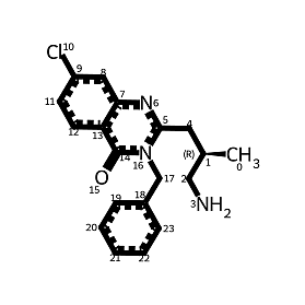 C[C@@H](CN)Cc1nc2cc(Cl)ccc2c(=O)n1Cc1ccccc1